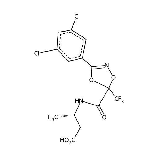 C[C@@H](CC(=O)O)NC(=O)C1(C(F)(F)F)ON=C(c2cc(Cl)cc(Cl)c2)O1